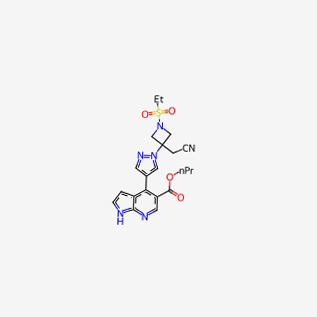 CCCOC(=O)c1cnc2[nH]ccc2c1-c1cnn(C2(CC#N)CN(S(=O)(=O)CC)C2)c1